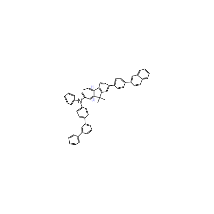 C=C(/C=C1\C(=C/C)c2ccc(-c3ccc(-c4ccc5ccccc5c4)cc3)cc2C1(C)C)N(c1ccccc1)c1ccc(-c2cccc(-c3ccccc3)c2)cc1